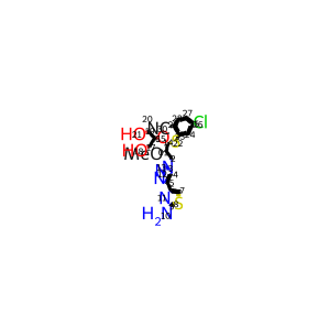 CO[C@@H](Cn1cc(-c2csc(N)n2)nn1)C(OC(CO)[C@@H](C)O)Sc1cc(Cl)ccc1C#N